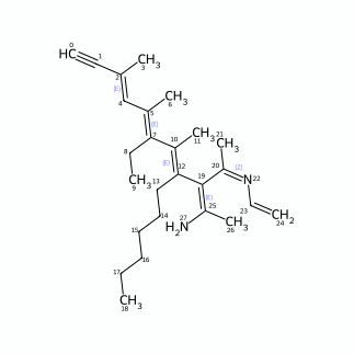 C#C/C(C)=C/C(C)=C(CC)/C(C)=C(CCCCCC)/C(C(/C)=N\C=C)=C(/C)N